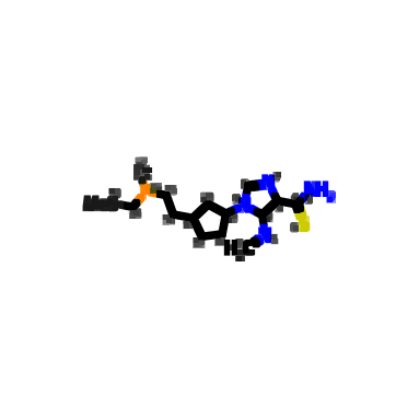 C=NC1C(C(N)=S)N=CN1C1CCC(CCP(CC)CSC)C1